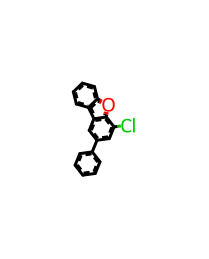 Clc1cc(-c2ccccc2)cc2c1oc1ccccc12